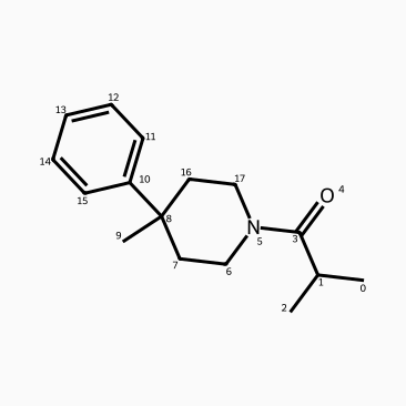 CC(C)C(=O)N1CCC(C)(c2ccccc2)CC1